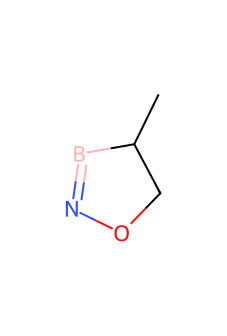 CC1B=NOC1